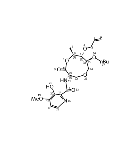 C=CCO[C@H]1[C@H](C)OC(=O)[C@@H](NC(=O)c2nccc(OC)c2O)COC[C@@H]1OCCCC